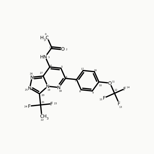 CC(=O)Nc1cc(-c2ccc(OC(F)(F)F)cc2)nn2c(C(C)(F)F)nnc12